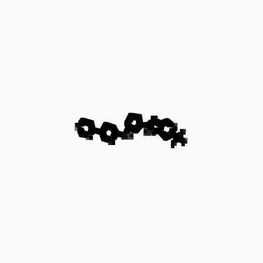 FC(F)(F)c1cc2[nH]c(-c3cccc(Nc4ccc(-c5ccncn5)cn4)c3)nc2cn1